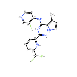 Cc1cc[nH]c1/C(=N\C(=N)c1cccc(C(F)F)n1)Nc1ccncc1F